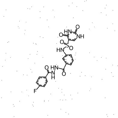 O=C(NNC(=O)c1cccc(NS(=O)(=O)c2c[nH]c(=O)[nH]c2=O)c1)c1ccc(F)cc1